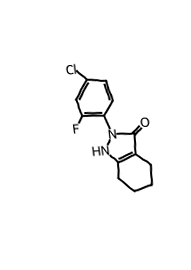 O=c1c2c([nH]n1-c1ccc(Cl)cc1F)CCCC2